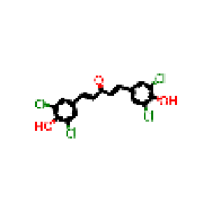 O=C(/C=C/c1cc(Cl)c(O)c(Cl)c1)/C=C/c1cc(Cl)c(O)c(Cl)c1